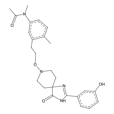 CC(=O)N(C)c1ccc(C)c(CCON2CCC3(CC2)N=C(c2cccc(O)c2)NC3=O)c1